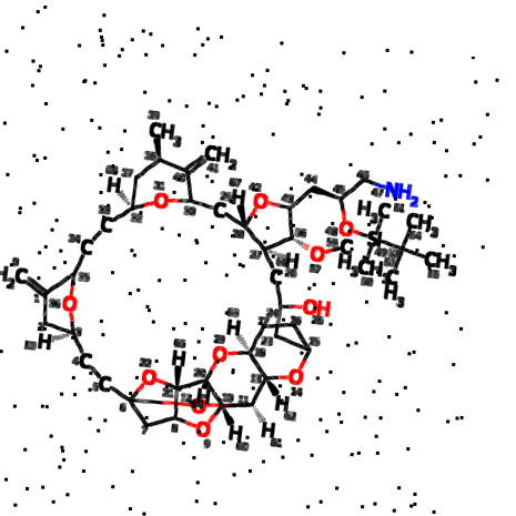 C=C1C[C@@H]2CCC34CC5O[C@H]6[C@@H](O3)[C@H]3OC(CC[C@@H]3O[C@H]6[C@H]5O4)CC(O)C[C@H]3[C@H](CC4O[C@@H](CCC1O2)C[C@@H](C)C4=C)OC(C[C@@H](CN)O[Si](C)(C)C(C)(C)C)[C@@H]3OC